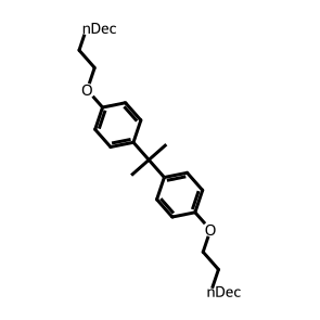 CCCCCCCCCCCCOc1ccc(C(C)(C)c2ccc(OCCCCCCCCCCCC)cc2)cc1